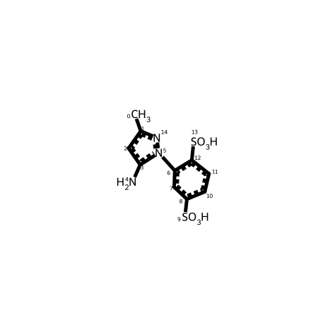 Cc1cc(N)n(-c2cc(S(=O)(=O)O)ccc2S(=O)(=O)O)n1